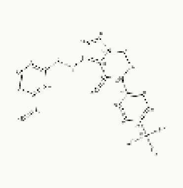 O=Cc1cccc(CCc2cnn3c2C(=O)N(c2ccc(C(F)(F)F)cc2)CC3)c1